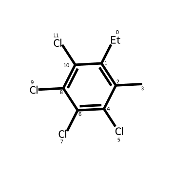 CCc1c(C)c(Cl)c(Cl)c(Cl)c1Cl